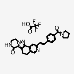 O=C(O)C(F)(F)F.O=C1NCCn2nc3c(c21)CCc1cnc(/C=C/c2ccc(C(=O)N4CCCC4)cc2)cc1-3